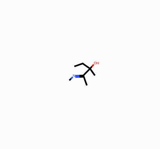 CCC(C)(O)C(C)=NC